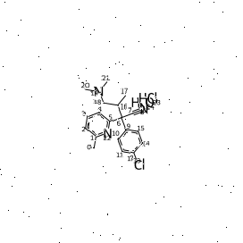 Cc1cccc(C(C#N)(c2ccc(Cl)cc2)C(C)CN(C)C)n1.Cl.O